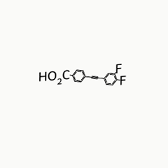 O=C(O)c1ccc(C#Cc2ccc(F)c(F)c2)cc1